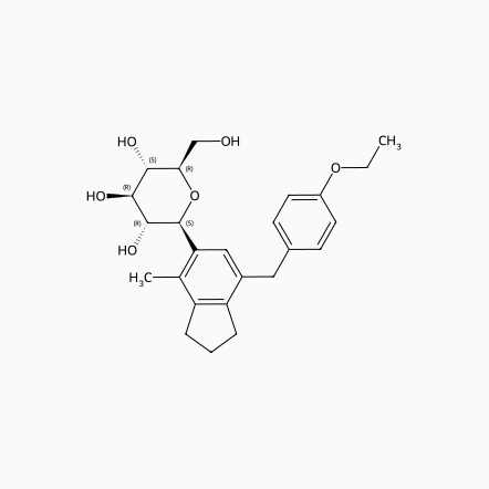 CCOc1ccc(Cc2cc([C@@H]3O[C@H](CO)[C@@H](O)[C@H](O)[C@H]3O)c(C)c3c2CCC3)cc1